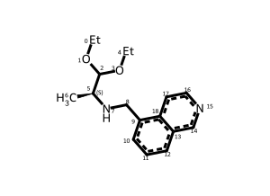 CCOC(OCC)[C@H](C)NCc1cccc2cnccc12